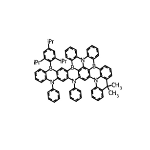 CC(C)c1cc(C(C)C)c(B2c3ccccc3N(c3ccccc3)c3cc4c(cc32)B2c3ccccc3N3c5ccccc5B5c6cccc7c6N(c6ccccc6C7(C)C)c6cc(c2c3c65)N4c2ccccc2)c(C(C)C)c1